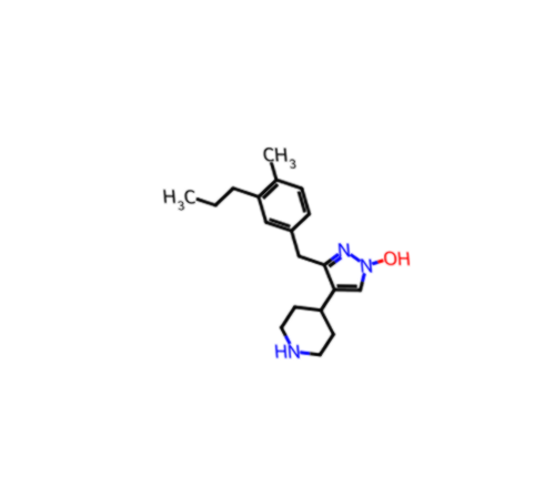 CCCc1cc(Cc2nn(O)cc2C2CCNCC2)ccc1C